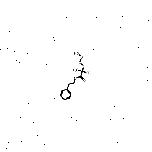 O=C(OCCc1ccccc1)C(SOOO)(C(F)(F)F)C(F)(F)F